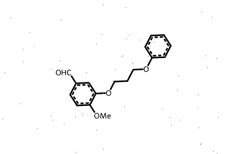 COc1ccc(C=O)cc1OCCCOc1ccccc1